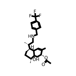 CC(=O)O[C@@H]1[C][C@@]2(O)[C@H](C)CC[C@@H]([C@H](C)CNCc3ccc(C(F)(F)F)cc3)[C@H]2C=C1C